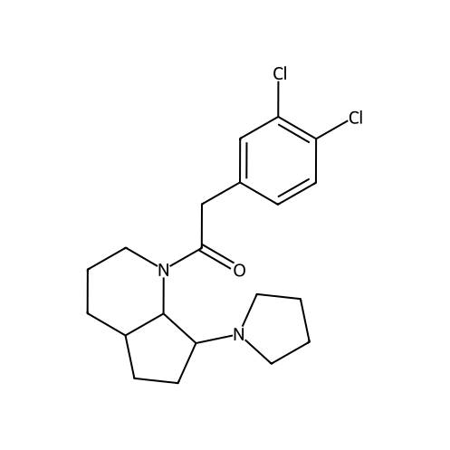 O=C(Cc1ccc(Cl)c(Cl)c1)N1CCCC2CCC(N3CCCC3)C21